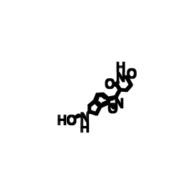 O=C1CCC(c2noc3c4c(ccc23)CC(NCO)C4)C(=O)N1